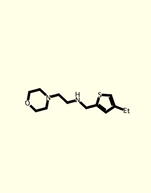 CCc1csc(CNCCN2CCOCC2)c1